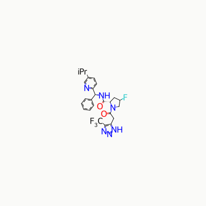 CC(C)c1ccc([C@@H](NC(=O)[C@@H]2C[C@@H](F)CN2C(=O)Cc2[nH]nnc2C(F)(F)F)c2ccccc2)nc1